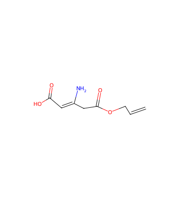 C=CCOC(=O)C/C(N)=C/C(=O)O